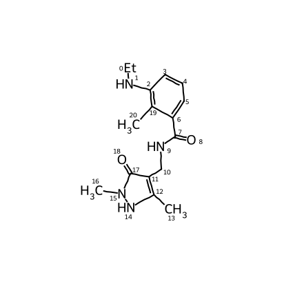 CCNc1cccc(C(=O)NCc2c(C)[nH]n(C)c2=O)c1C